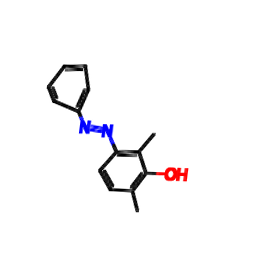 Cc1ccc(N=Nc2ccccc2)c(C)c1O